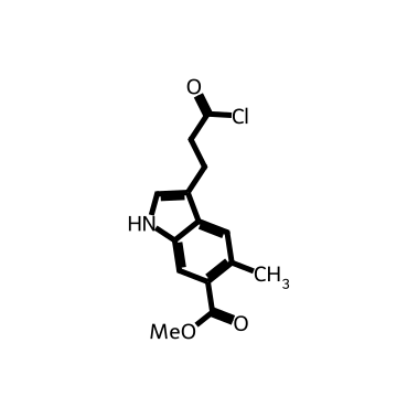 COC(=O)c1cc2[nH]cc(CCC(=O)Cl)c2cc1C